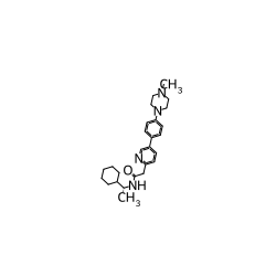 C[C@@H](NC(=O)Cc1ccc(-c2ccc(N3CCN(C)CC3)cc2)cn1)C1CCCCC1